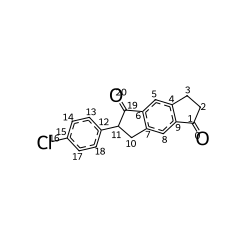 O=C1CCc2cc3c(cc21)CC(c1ccc(Cl)cc1)C3=O